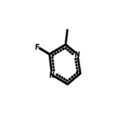 Cc1nccnc1F